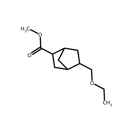 CCOCC1CC2CC1CC2C(=O)OC